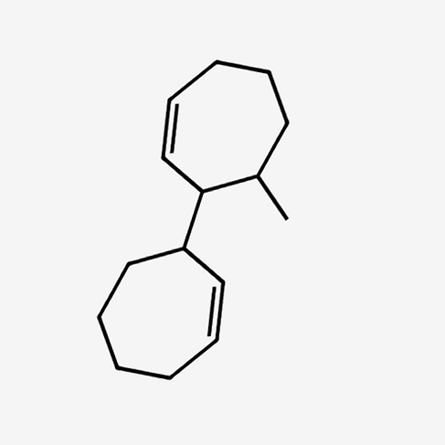 CC1CCCC=CC1C1C=CCCCC1